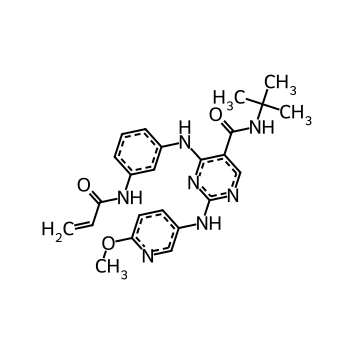 C=CC(=O)Nc1cccc(Nc2nc(Nc3ccc(OC)nc3)ncc2C(=O)NC(C)(C)C)c1